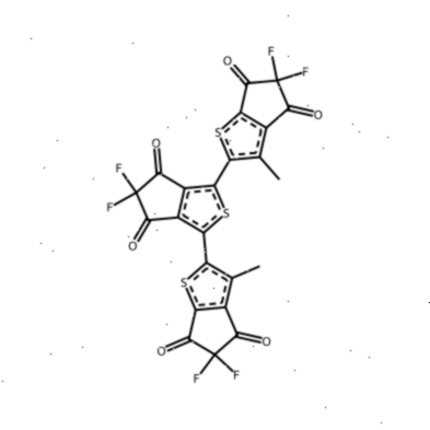 Cc1c(-c2sc(-c3sc4c(c3C)C(=O)C(F)(F)C4=O)c3c2C(=O)C(F)(F)C3=O)sc2c1C(=O)C(F)(F)C2=O